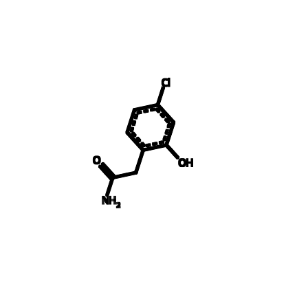 NC(=O)Cc1ccc(Cl)cc1O